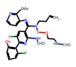 C=CCCN(SOCCNC=O)/C(=N/c1cccnc1SC)c1cc(F)c(-c2c(O)cccc2F)nc1NC=O